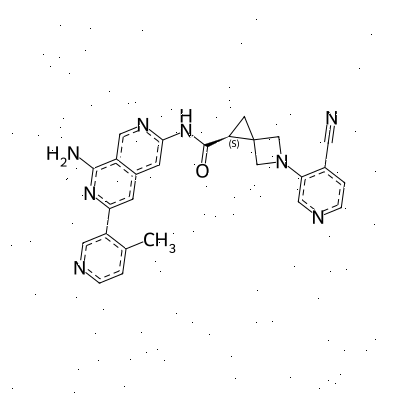 Cc1ccncc1-c1cc2cc(NC(=O)[C@H]3CC34CN(c3cnccc3C#N)C4)ncc2c(N)n1